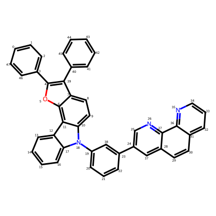 c1ccc(-c2oc3c(ccc4c3c3ccccc3n4-c3cccc(-c4cnc5c(ccc6cccnc65)c4)c3)c2-c2ccccc2)cc1